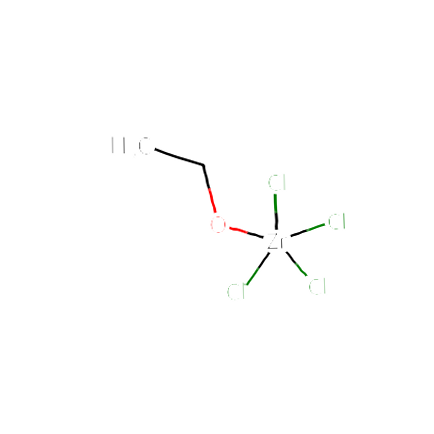 CC[O][Zr]([Cl])([Cl])([Cl])[Cl]